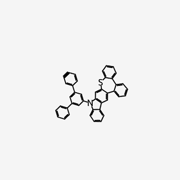 c1ccc(-c2cc(-c3ccccc3)cc(-n3c4ccccc4c4cc5c(cc43)Sc3ccccc3-c3ccccc3-5)c2)cc#1